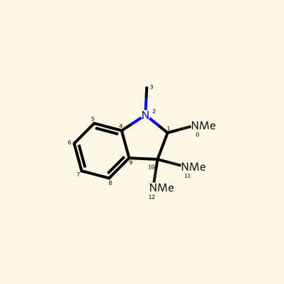 CNC1N(C)c2ccccc2C1(NC)NC